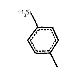 Cc1ccc([SiH2])cc1